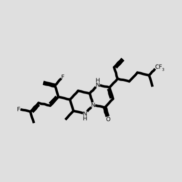 C=CC(CCC(C)C(F)(F)F)C1=CC(=O)N2NC(C)C(/C(=C/C=C(\C)F)C(=C)F)CC2N1